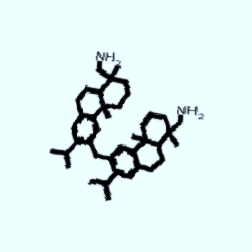 CC(C)c1cc2c(cc1Cc1cc3c(cc1C(C)C)CCC1C(C)(CN)CCCC31C)C1(C)CCCC(C)(CN)C1CC2